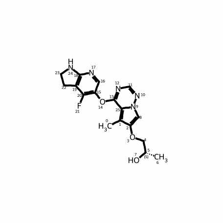 Cc1c(OC[C@H](C)O)cn2ncnc(Oc3cnc4c(c3F)CCN4)c12